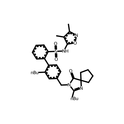 CCCCC1=NC2(CCCC2)C(=O)N1Cc1ccc(-c2ccccc2S(=O)(=O)Nc2onc(C)c2C)c(CCCC)c1